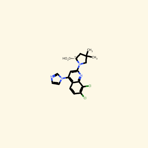 CC1(C)C[C@@H](C(=O)O)N(c2cc(-n3ccnc3)c3ccc(Cl)c(Cl)c3n2)C1